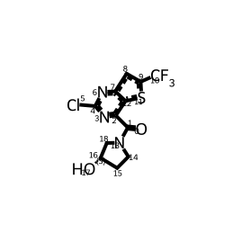 O=C(c1nc(Cl)nc2cc(C(F)(F)F)sc12)N1CC[C@H](O)C1